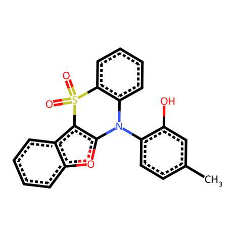 Cc1ccc(N2c3ccccc3S(=O)(=O)c3c2oc2ccccc32)c(O)c1